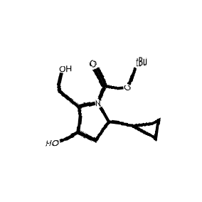 CC(C)(C)OC(=O)N1C(CO)C(O)CC1C1CC1